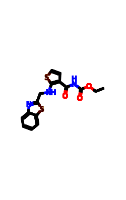 CCOC(=O)NC(=O)c1ccsc1NCc1nc2ccccc2s1